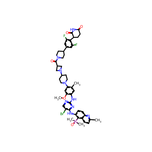 COc1cc(N2CCC(N3CC(C(=O)N4CCC(c5cc(F)c(C6CCC(=O)NC6=O)c(F)c5)CC4)C3)CC2)c(C)cc1Nc1ncc(Br)c(Nc2ccc3nc(C)ccc3c2P(C)(C)=O)n1